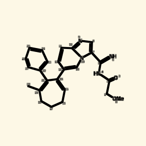 COCC(=O)NC(=N)c1cnc2ccc(C3=CCCCC(C)=C3c3ccccc3)cn12